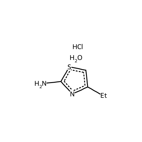 CCc1csc(N)n1.Cl.O